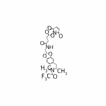 CC(Cc1ccc2c(c1)OC(CNC(=O)CCC(=O)ON1C(=O)C=CC1=O)O2)N(C)C(=O)C(F)(F)F